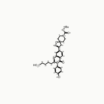 CC(C)(C)OC(=O)N1CCC2(CC1)CC(c1ccc3c(=O)n(-c4ccc(Cl)cc4)c(CCCCC(=O)O)nc3c1)=NO2